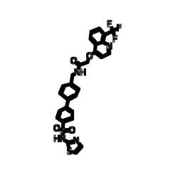 O=C(COc1ccnc2c(C(F)(F)F)cccc12)NCc1ccc(-c2ccc(S(=O)(=O)Nc3nccs3)cc2)cc1